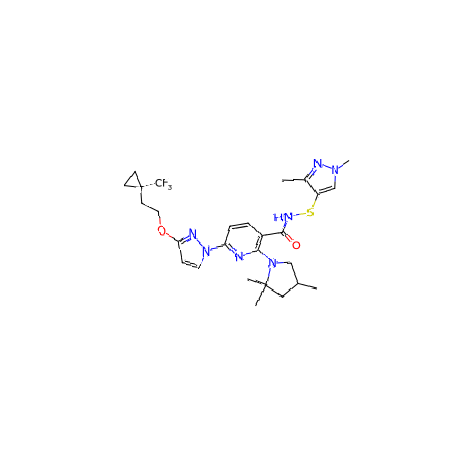 Cc1nn(C)cc1SNC(=O)c1ccc(-n2ccc(OCCC3(C(F)(F)F)CC3)n2)nc1N1CC(C)CC1(C)C